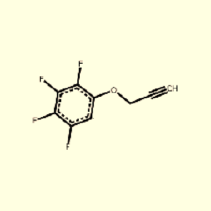 C#CCOc1[c]c(F)c(F)c(F)c1F